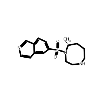 C[C@@H]1CCCNCCN1S(=O)(=O)c1ccc2cnccc2c1